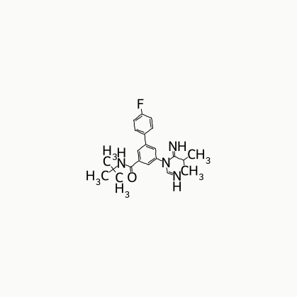 CC(C)C(=N)N(C=N)c1cc(C(=O)NC(C)(C)C)cc(-c2ccc(F)cc2)c1